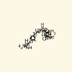 N=C(N)NCCOc1ccc(CCCCNC(=N)NC(=O)c2nc(Cl)c(NCl)nc2N)cc1